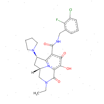 CCN1C[C@@H]2C[C@@H](N3CCCC3)c3c(C(=O)NCc4cccc(Cl)c4F)c(=O)c(O)c(n32)C1=O